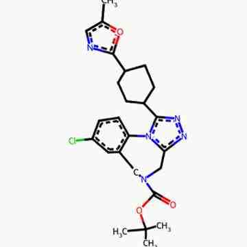 Cc1cnc(C2CCC(c3nnc4n3-c3ccc(Cl)cc3CN(C(=O)OC(C)(C)C)C4)CC2)o1